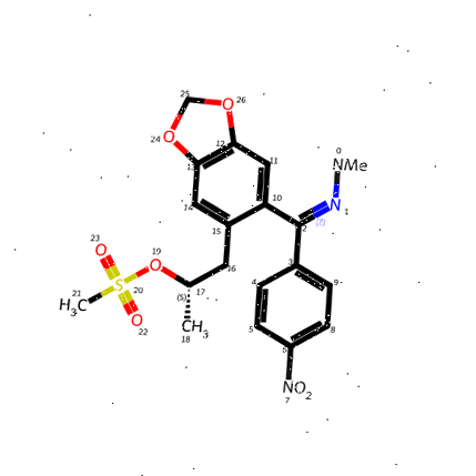 CN/N=C(/c1ccc([N+](=O)[O-])cc1)c1cc2c(cc1C[C@H](C)OS(C)(=O)=O)OCO2